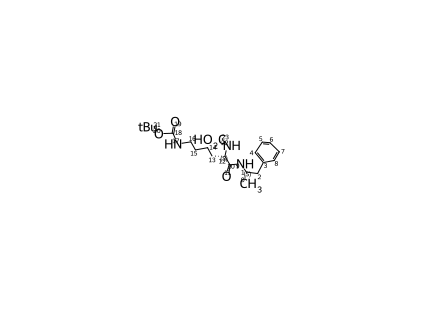 C[C@@H](Cc1ccccc1)NC(=O)[C@H](CCCCNC(=O)OC(C)(C)C)NC(=O)O